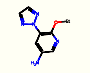 CCOc1ncc(N)cc1-n1nccn1